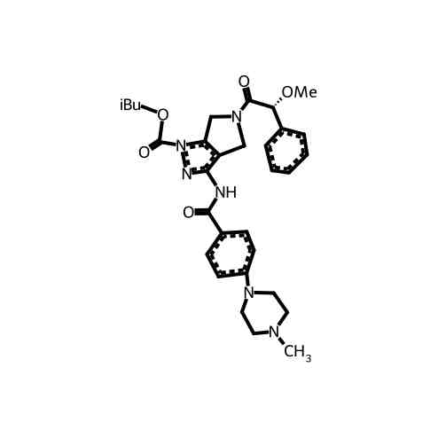 CCC(C)OC(=O)n1nc(NC(=O)c2ccc(N3CCN(C)CC3)cc2)c2c1CN(C(=O)[C@H](OC)c1ccccc1)C2